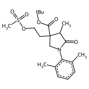 Cc1cccc(C)c1N1CC(CCOS(C)(=O)=O)(C(=O)OC(C)(C)C)C(C)C1=O